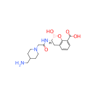 NCC1CCN(CC(=O)N[C@H]2Cc3cccc(C(=O)O)c3OB2O)CC1